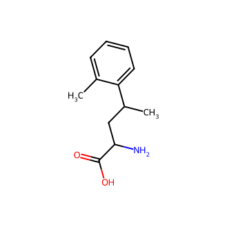 Cc1ccccc1C(C)CC(N)C(=O)O